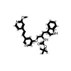 COc1cc(C=Cc2cncc(OCC(Cc3c[nH]c4ccccc34)NC(=O)OC(C)(C)C)c2)ccn1